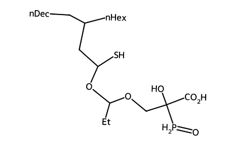 CCCCCCCCCCCC(CCCCCC)CC(S)OC(CC)OCC(O)([PH2]=O)C(=O)O